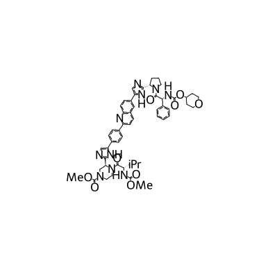 COC(=O)N[C@H](C(=O)N1CCN(C(=O)OC)C[C@H]1c1ncc(-c2ccc(-c3ccc4cc(-c5cnc([C@@H]6CCCN6C(=O)[C@H](NC(=O)OC6CCOCC6)c6ccccc6)[nH]5)ccc4n3)cc2)[nH]1)C(C)C